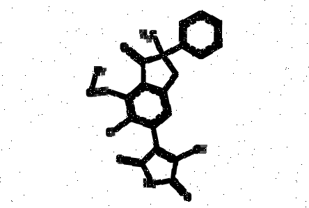 CC(C)O.CC1(c2ccccc2)Cc2cc(C3=C(O)C(=O)NC3=O)c(Cl)c(Cl)c2C1=O